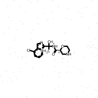 CC(C)(NC(=O)[C@@H]1CNCCO1)c1ncc2c(Cl)cccn12